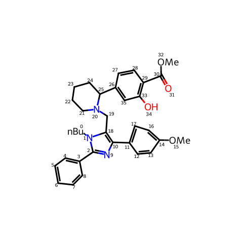 CCCCn1c(-c2ccccc2)nc(-c2ccc(OC)cc2)c1CN1CCCCC1c1ccc(C(=O)OC)c(O)c1